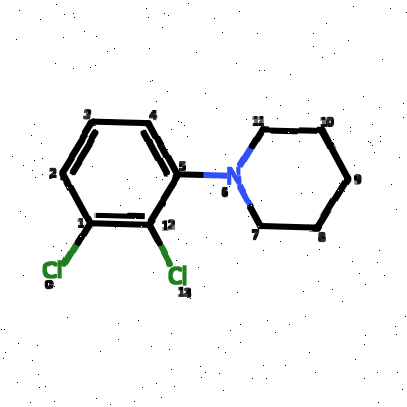 Clc1[c]ccc(N2CCCCC2)c1Cl